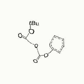 CC(C)(C)OC(=O)COC(=O)Oc1ccccc1